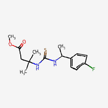 COC(=O)CC(C)(C)NC(=S)NC(C)c1ccc(F)cc1